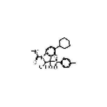 Cc1ccc(S(=O)(=O)C2(O)c3cc(C4CCCCC4)ccc3N(C(=O)N(C)C)C2Cl)cc1